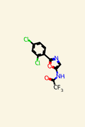 O=C(Nc1cnc(-c2ccc(Cl)cc2Cl)o1)C(F)(F)F